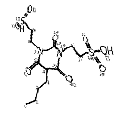 CCCCC1C(=O)N(CC[SH](=O)=O)C(=O)N(CCS(=O)(=O)O)C1=O